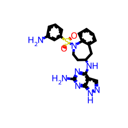 Nc1cccc(S(=O)(=O)N2CCC(Nc3nc(N)nc4[nH]ncc34)Cc3ccccc32)c1